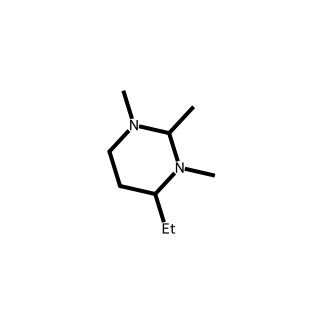 CCC1CCN(C)C(C)N1C